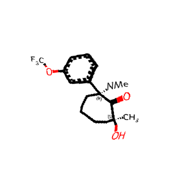 CN[C@@]1(c2cccc(OC(F)(F)F)c2)CCC[C@](C)(O)C1=O